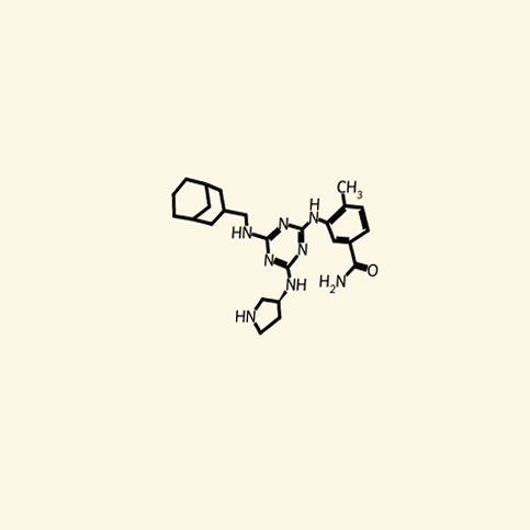 Cc1ccc(C(N)=O)cc1Nc1nc(NCC2CC3CCCC(C3)C2)nc(N[C@H]2CCNC2)n1